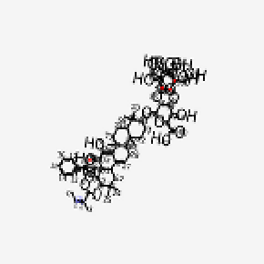 C/C=C(/C)C(=O)O[C@H]1[C@H](OC(=O)c2ccccc2)[C@@]2(CO)C(CC1(C)C)C1=CCC3[C@@]4(C)CC[C@H](O[C@@H]5OC(C(=O)O)[C@@H](O)[C@@H](O[C@@H]6O[C@@H](CO)[C@@H](O)C6O)C5O[C@@H]5OC(CO)[C@H](O)[C@@H](O)C5O)C(C)(C)C4CC[C@@]3(C)[C@]1(C)[C@@H](O)[C@H]2O